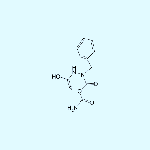 NC(=O)OC(=O)N(Cc1ccccc1)NC(O)=S